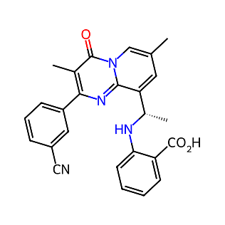 Cc1cc([C@H](C)Nc2ccccc2C(=O)O)c2nc(-c3cccc(C#N)c3)c(C)c(=O)n2c1